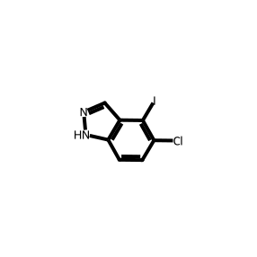 Clc1ccc2[nH]ncc2c1I